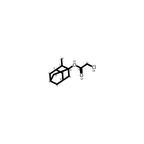 CC1C2CC3CC(C2)CC1(OC(=O)CCl)C3